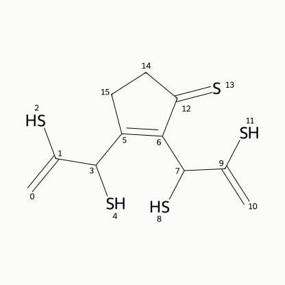 C=C(S)C(S)C1=C(C(S)C(=C)S)C(=S)CC1